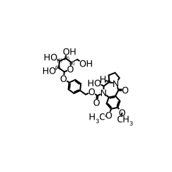 COc1cc2c(cc1OC)N(C(=O)OCc1ccc(OC3O[C@H](CO)[C@H](O)[C@H](O)[C@H]3O)cc1)C(O)[C@@H]1CCCN1C2=O